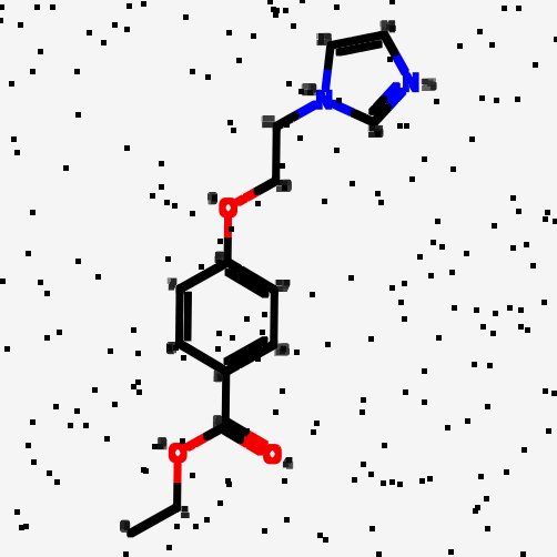 CCOC(=O)c1ccc(OCCn2ccnc2)cc1